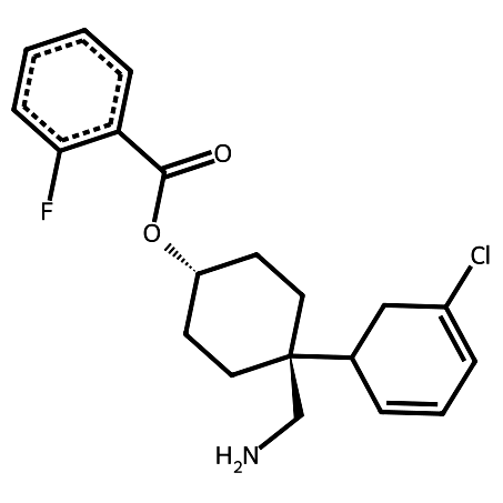 NC[C@]1(C2C=CC=C(Cl)C2)CC[C@@H](OC(=O)c2ccccc2F)CC1